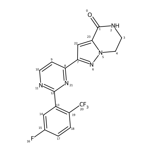 O=C1NCCn2nc(-c3ccnc(-c4cc(F)ccc4C(F)(F)F)n3)cc21